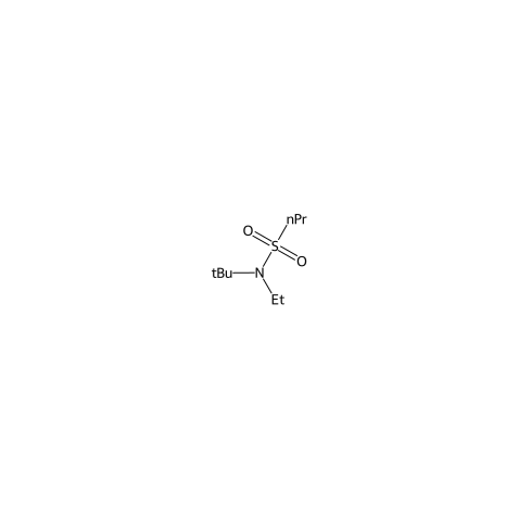 CCCS(=O)(=O)N(CC)C(C)(C)C